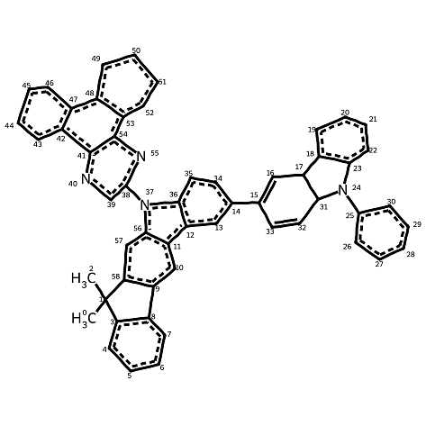 CC1(C)c2ccccc2-c2cc3c4cc(C5=CC6c7ccccc7N(c7ccccc7)C6C=C5)ccc4n(-c4cnc5c6ccccc6c6ccccc6c5n4)c3cc21